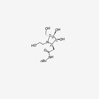 CCCCNC(=O)C[C@@H]1[C@H](O)[C@H](O)[C@@H](CO)N1CCO